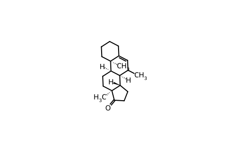 CC1C=C2CCCC[C@]2(C)[C@@H]2CC[C@]3(C)C(=O)CC[C@H]3[C@H]12